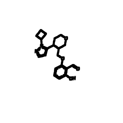 O=Cc1c(O)cccc1OCC1COCCC1c1ccnn1C1CCC1